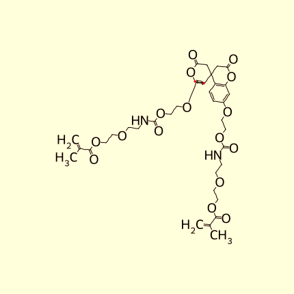 C=C(C)C(=O)OCCOCCNC(=O)OCCOc1ccc2c(c1)OC(=O)CC21CC(=O)Oc2cc(OCCOC(=O)NCCOCCOC(=O)C(=C)C)ccc21